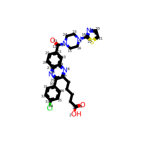 O=C(O)CCCCc1nc2cc(C(=O)N3CCN(c4nccs4)CC3)ccc2nc1-c1ccc(Cl)cc1